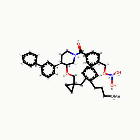 COCCCc1ccccc1CC1(COC2CN(C(=O)c3ccc(CON(O)O)cc3)CC[C@@H]2c2cccc(-c3ccccc3)c2)CC1